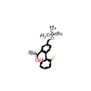 CC(C)(C)[C@H](O)c1cc(CO[Si](C)(C)C(C)(C)C)ccc1-c1ccccc1F